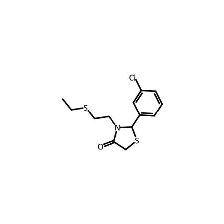 CCSCCN1C(=O)CSC1c1cccc(Cl)c1